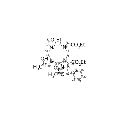 CCOC(=O)CN1CCN(CC(=O)OCC)CCN(CC(=O)OCC)C(N(CCc2ccccc2)S(C)(=O)=O)CN(CC(C)O)CC1